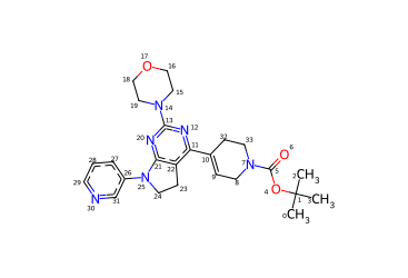 CC(C)(C)OC(=O)N1CC=C(c2nc(N3CCOCC3)nc3c2CCN3c2cccnc2)CC1